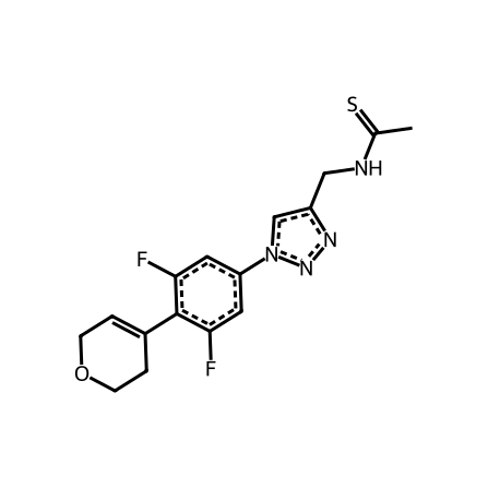 CC(=S)NCc1cn(-c2cc(F)c(C3=CCOCC3)c(F)c2)nn1